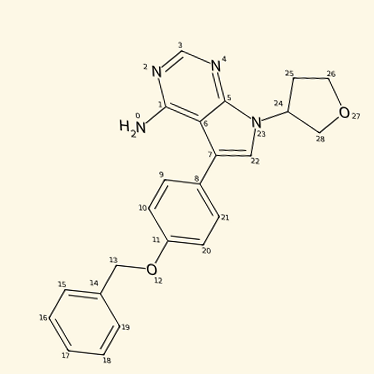 Nc1ncnc2c1c(-c1ccc(OCc3ccccc3)cc1)cn2C1CCOC1